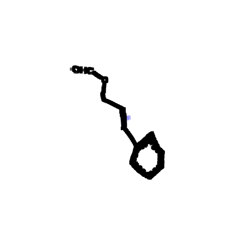 O=[C]OC/C=C/c1ccccc1